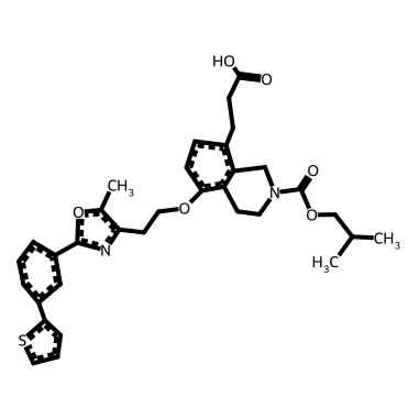 Cc1oc(-c2cccc(-c3cccs3)c2)nc1CCOc1ccc(CCC(=O)O)c2c1CCN(C(=O)OCC(C)C)C2